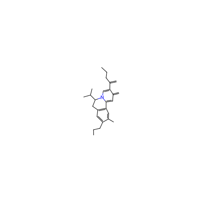 C=C1C=C2c3cc(C)c(CCC)cc3CC(C(C)C)N2C=C1C(=C)CCC